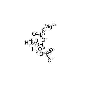 O.O.O.O.[Mg+2].[O-][I+2]([O-])[O-].[O-][I+2]([O-])[O-]